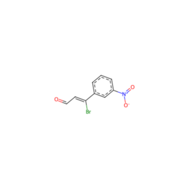 O=CC=C(Br)c1cccc([N+](=O)[O-])c1